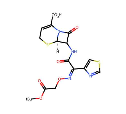 CC(C)(C)OC(=O)CO/N=C(\C(=O)NC1C(=O)N2C(C(=O)O)=CCS[C@H]12)c1cscn1